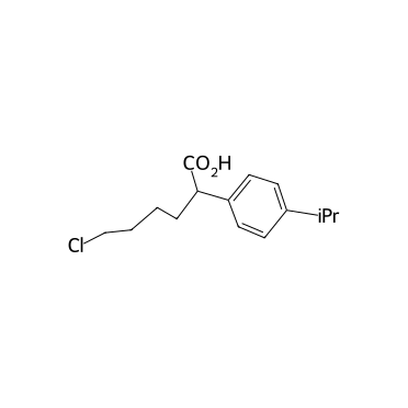 CC(C)c1ccc(C(CCCCCl)C(=O)O)cc1